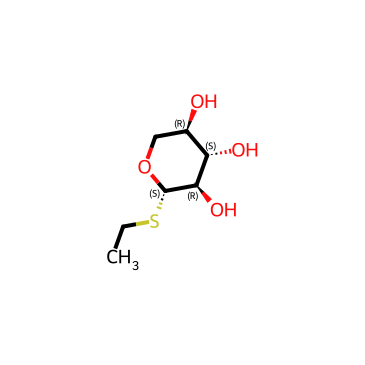 CCS[C@@H]1OC[C@@H](O)[C@H](O)[C@H]1O